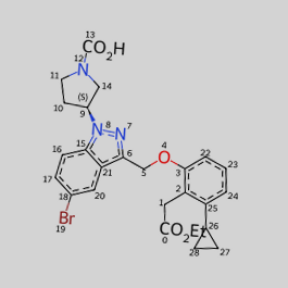 CCOC(=O)Cc1c(OCc2nn([C@H]3CCN(C(=O)O)C3)c3ccc(Br)cc23)cccc1C1CC1